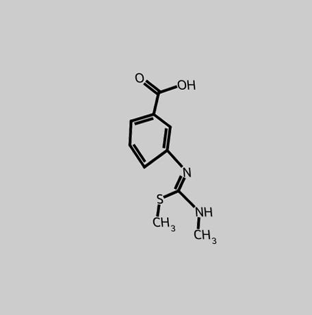 CNC(=Nc1cccc(C(=O)O)c1)SC